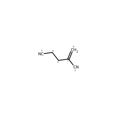 C=C(C#N)CCC#N